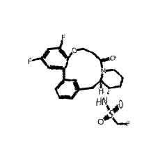 O=C1CCOc2c(F)cc(F)cc2-c2cccc(c2)C[C@H]2[C@@H](NS(=O)(=O)CF)CCCN12